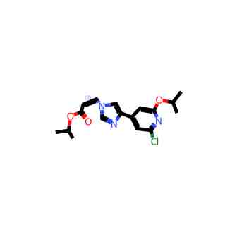 CC(C)OC(=O)/C=C\n1cnc(-c2cc(Cl)nc(OC(C)C)c2)c1